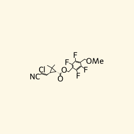 COCc1c(F)c(F)c(COC(=O)[C@@H]2[C@@H](/C=C(\Cl)C#N)C2(C)C)c(F)c1F